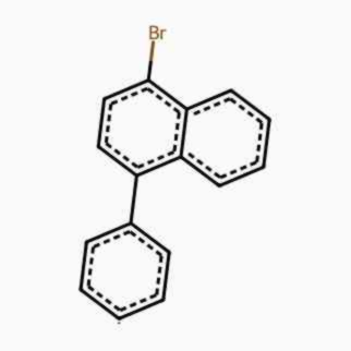 Brc1ccc(-c2cc[c]cc2)c2ccccc12